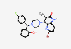 Cn1c(=O)c([N+](=O)[O-])c(N2CCN(C(c3ccc(F)cc3)c3ccccc3O)CC2)c2nc(Br)ccc21